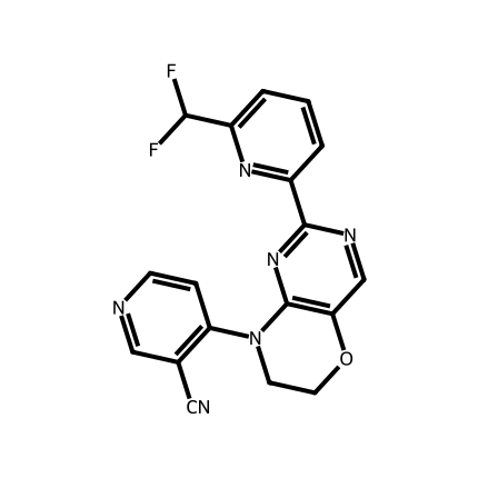 N#Cc1cnccc1N1CCOc2cnc(-c3cccc(C(F)F)n3)nc21